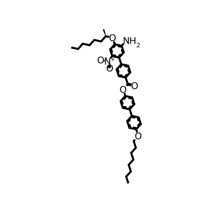 CCCCCCCCOc1ccc(-c2ccc(OC(=O)c3ccc(-c4cc(N)c(O[C@H](C)CCCCCC)cc4[N+](=O)[O-])cc3)cc2)cc1